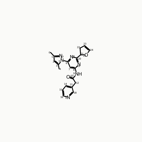 Cc1cc(C)n(-c2cc(NC(=O)Cc3cccnc3)nc(C3CC=CO3)n2)n1